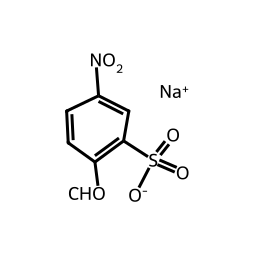 O=Cc1ccc([N+](=O)[O-])cc1S(=O)(=O)[O-].[Na+]